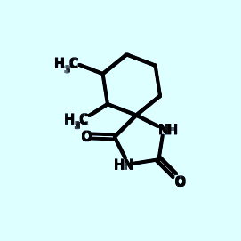 CC1CCCC2(NC(=O)NC2=O)C1C